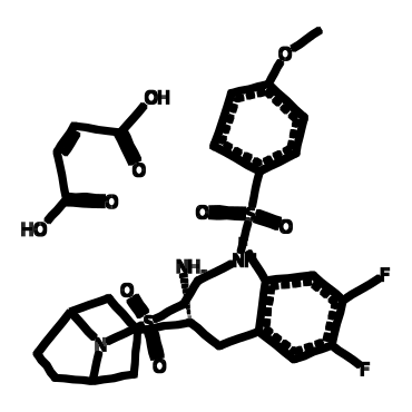 COc1ccc(S(=O)(=O)NCCS(=O)(=O)N2C3CCC2CC([C@H](N)Cc2cc(F)c(F)cc2F)C3)cc1.O=C(O)/C=C\C(=O)O